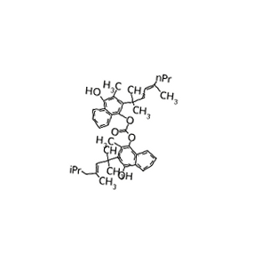 CCC/C(C)=C/CC(C)(C)c1c(C)c(O)c2ccccc2c1OC(=O)Oc1c(C)c(C(C)(C)/C=C(\C)CC(C)C)c(O)c2ccccc12